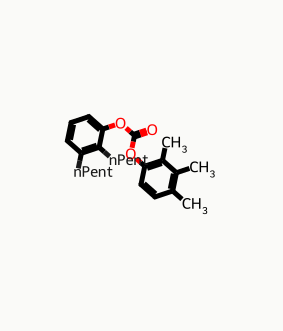 CCCCCc1cccc(OC(=O)Oc2ccc(C)c(C)c2C)c1CCCCC